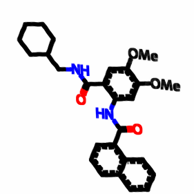 COc1cc(NC(=O)c2cccc3ccccc23)c(C(=O)NCC2CCCCC2)cc1OC